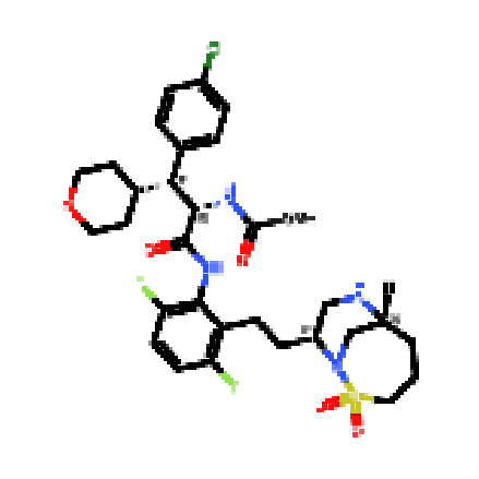 COC(=O)N[C@H](C(=O)Nc1c(F)ccc(F)c1CC[C@H]1CN[C@@H]2CCCS(=O)(=O)N1C2)[C@@H](c1ccc(Cl)cc1)C1CCOCC1